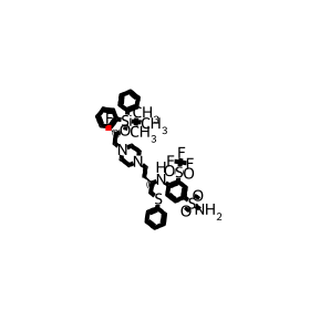 CC(C)(C)[Si](O[C@@H](CF)CN1CCN(CC[C@H](CSc2ccccc2)Nc2ccc(S(N)(=O)=O)cc2S(=O)(=O)C(F)(F)F)CC1)(c1ccccc1)c1ccccc1